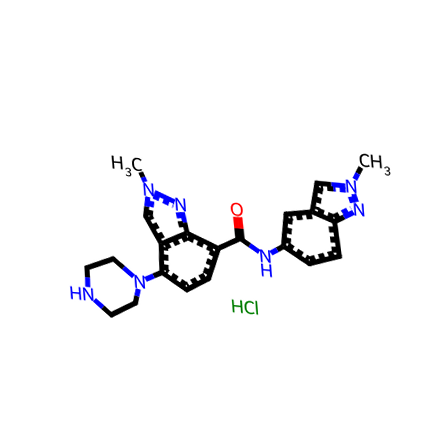 Cl.Cn1cc2cc(NC(=O)c3ccc(N4CCNCC4)c4cn(C)nc34)ccc2n1